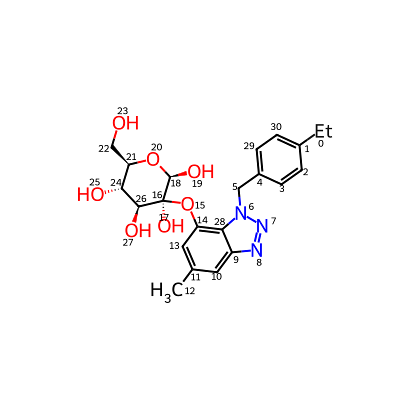 CCc1ccc(Cn2nnc3cc(C)cc(O[C@]4(O)[C@H](O)O[C@H](CO)[C@@H](O)[C@@H]4O)c32)cc1